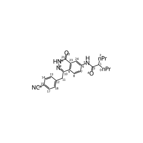 CCCC(CCC)C(=O)Nc1ccc2c(Cc3ccc(C#N)cc3)n[nH]c(=O)c2c1